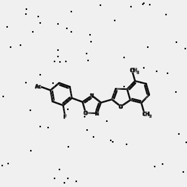 CC(=O)c1ccc(-c2nc(-c3cc4c(C)ccc(C)c4o3)no2)c(F)c1